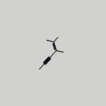 CCC#CC(C)=C(C)C=O